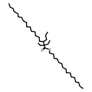 CCCCCCCCCCCCCCCCOC(=O)C(CC)(CC)C(CCC)CCCCCCCCCCCCCCCC